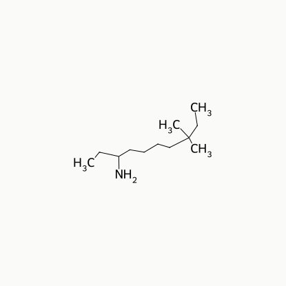 CCC(N)CCCCC(C)(C)CC